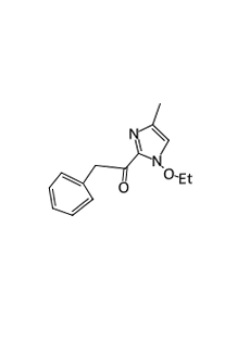 CCOn1cc(C)nc1C(=O)Cc1ccccc1